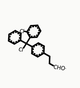 O=[C]CCc1ccc(C(Cl)(c2ccccc2)c2ccccc2Cl)cc1